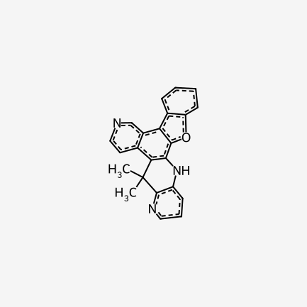 CC1(C)c2ncccc2Nc2c1c1ccncc1c1c2oc2ccccc21